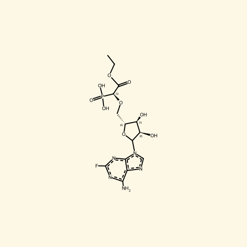 CCOC(=O)[C@@H](OC[C@H]1OC(n2cnc3c(N)nc(F)nc32)[C@H](O)[C@@H]1O)P(=O)(O)O